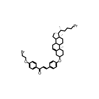 CC(C)CCC[C@@H](C)[C@H]1CCC2C3CC=C4CC(Oc5ccc(C=CC(=O)c6ccc(OCCBr)cc6)cc5)CC[C@]4(C)C3CC[C@@]21C